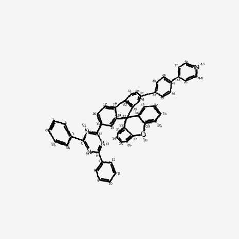 c1ccc(-c2nc(-c3ccccc3)nc(-c3ccc4c(c3)C3(c5ccccc5Oc5ccccc53)c3cc(-c5ccc(-c6ccncc6)cc5)ccc3-4)n2)cc1